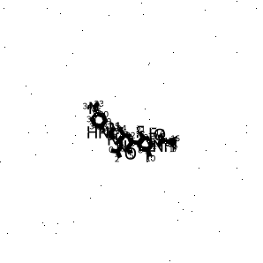 CC(C)n1c(=O)c(-c2cc(F)c(NC(=O)C3CC3)c(F)c2F)cc2cnc(NC3CCC(N(C)C)CC3)nc21